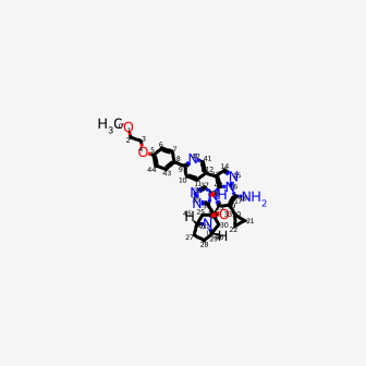 COCCOc1ccc(-c2ccc(-c3cnn4c(N)c(C5CC5)c([C@@H]5C[C@H]6CC[C@@H](C5)N6C(=O)c5nnc[nH]5)nc34)cn2)cc1